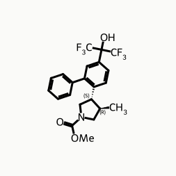 COC(=O)N1C[C@H](c2ccc(C(O)(C(F)(F)F)C(F)(F)F)cc2-c2ccccc2)[C@@H](C)C1